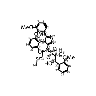 COc1cc#cc(-c2nnc(N(CCSI)S(=O)(=O)[C@H](C)[C@@H](O)c3ccccc3OC)n2-c2c(O)cccc2OC)n1